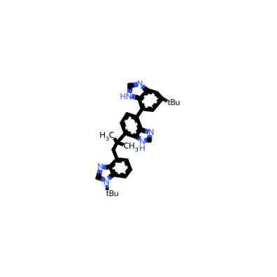 CC(C)(C)c1cc(-c2ccc(C(C)(C)Cc3cccc4c3ncn4C(C)(C)C)c3[nH]cnc23)c2[nH]cnc2c1